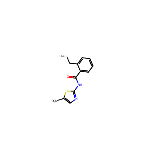 O=C(O)Cc1ccccc1C(=O)Nc1ncc([N+](=O)[O-])s1